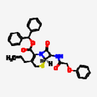 C=CCC1=C(C(=O)OC(c2ccccc2)c2ccccc2)N2C(=O)C(NC(=O)COc3ccccc3)[C@H]2SC1